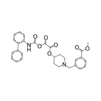 COC(=O)c1cccc(CN2CCC(OC(=O)C(=O)OC(=O)Nc3ccccc3-c3ccccc3)CC2)c1